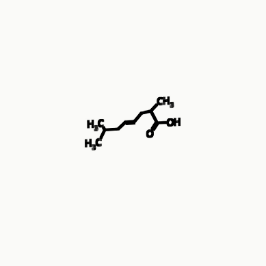 CC(C)C/C=C/CC(C)C(=O)O